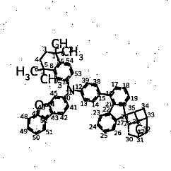 CC1(C)CCC(C)(C)c2cc(N(c3ccc(-c4cccc5c4-c4ccccc4C54C5CC6CC7CC4C75C6)cc3)c3ccc4c(c3)oc3ccccc34)ccc21